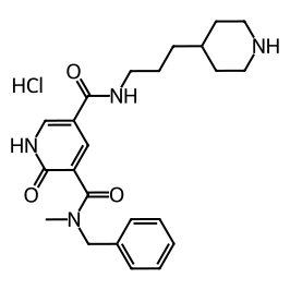 CN(Cc1ccccc1)C(=O)c1cc(C(=O)NCCCC2CCNCC2)c[nH]c1=O.Cl